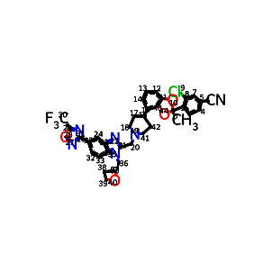 CC1(c2ccc(C#N)cc2Cl)Oc2cccc(C3CCN(Cc4nc5cc(-c6noc(C(F)(F)F)n6)ccc5n4C[C@@H]4CCO4)CC3)c2O1